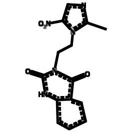 Cc1ncc([N+](=O)[O-])n1CCn1c(=O)[nH]c2ccccc2c1=O